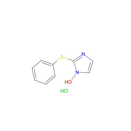 Cl.On1ccnc1Sc1ccccc1